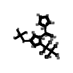 CC(C)(C)Cc1nc(C(Cl)(Cl)C(Cl)(Cl)Cl)n(C(=O)n2cncn2)n1